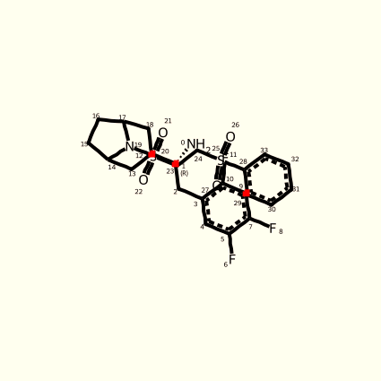 N[C@H](Cc1cc(F)c(F)cc1F)C1CC2CCC(C1)N2S(=O)(=O)CCS(=O)(=O)c1ccccc1